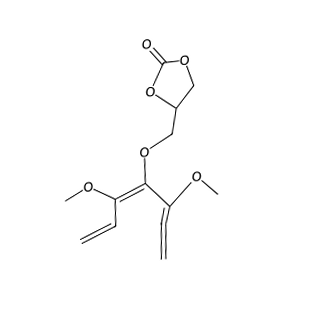 C=C=C(OC)/C(OCC1COC(=O)O1)=C(\C=C)OC